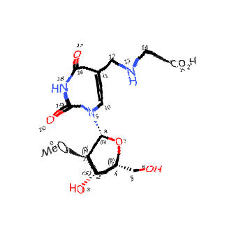 CO[C@@H]1[C@@H](O)[C@@H](CO)O[C@H]1n1cc(CNCC(=O)O)c(=O)[nH]c1=O